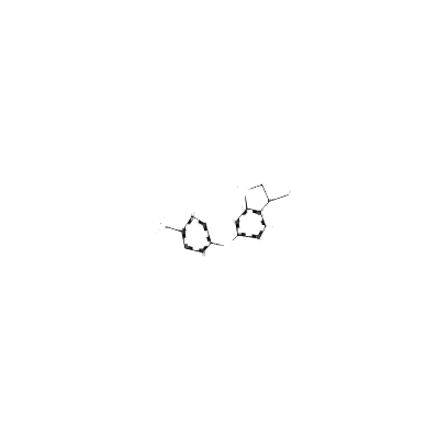 CC1COc2cc(Oc3ccc([N+](=O)[O-])cc3)ccc21